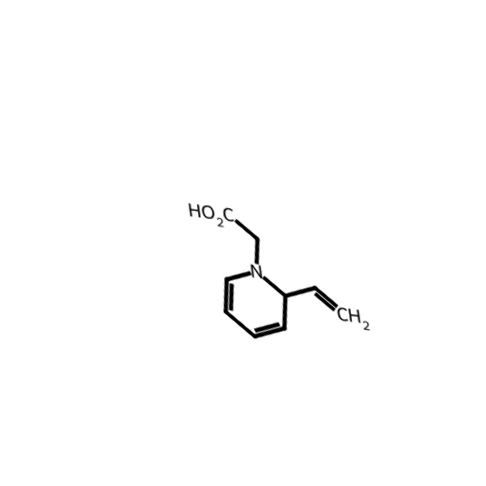 C=CC1C=CC=CN1CC(=O)O